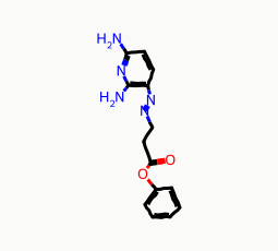 Nc1ccc(/N=N/CCC(=O)Oc2ccccc2)c(N)n1